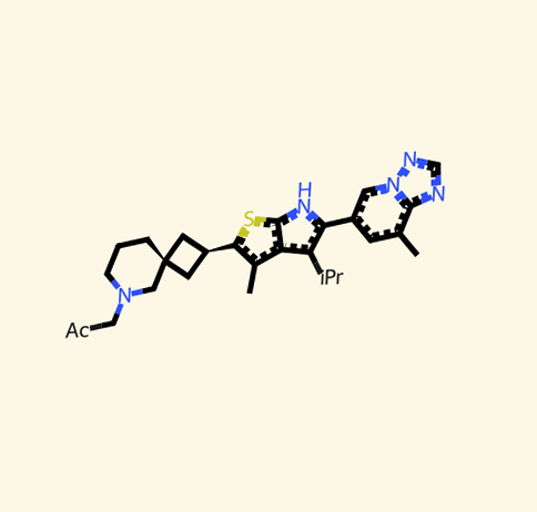 CC(=O)CN1CCC[C@]2(C1)C[C@H](c1sc3[nH]c(-c4cc(C)c5ncnn5c4)c(C(C)C)c3c1C)C2